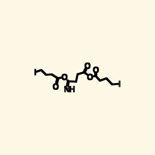 N=C(CCC(=O)OC(=O)CCCI)OC(=O)CCCI